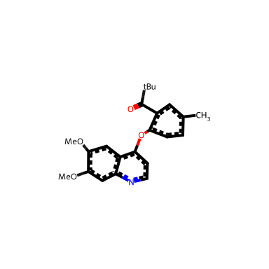 COc1cc2nccc(Oc3ccc(C)cc3C(=O)C(C)(C)C)c2cc1OC